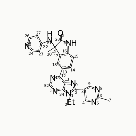 CCn1c(-c2cnc(C)nc2)nc2c(-c3ccc4c(c3)C(C)(Nc3ccncc3)C(=O)N4)ncnc21